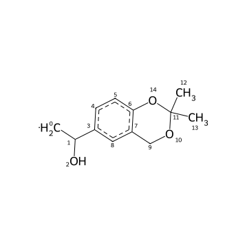 [CH2]C(O)c1ccc2c(c1)COC(C)(C)O2